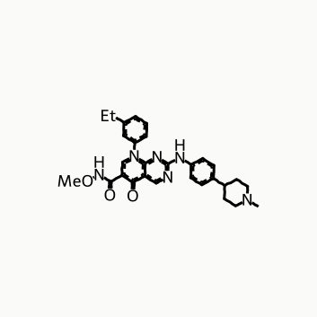 CCc1cccc(-n2cc(C(=O)NOC)c(=O)c3cnc(Nc4ccc(C5CCN(C)CC5)cc4)nc32)c1